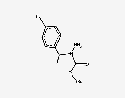 CC(c1ccc(Cl)cc1)N(N)C(=O)OC(C)(C)C